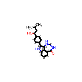 CC(C)CC(O)c1ccc(-c2[nH]c3cccc4c3c2NCNC4=O)cc1